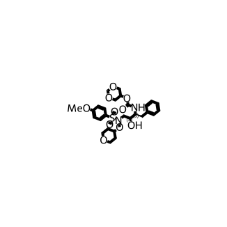 COc1ccc(S(=O)(=O)N(C[C@H](O)[C@H](Cc2ccccc2)NC(=O)OC2COCOC2)OC2CCOCC2)cc1